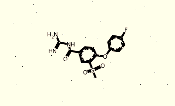 CS(=O)(=O)c1cc(C(=O)NC(=N)N)ccc1Oc1ccc(F)cc1